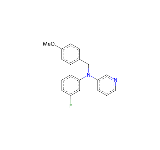 COc1ccc(CN(c2cccnc2)c2cccc(F)c2)cc1